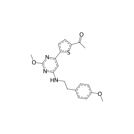 COc1ccc(CCNc2cc(-c3ccc(C(C)=O)s3)nc(OC)n2)cc1